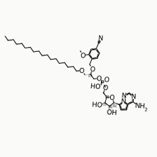 CCCCCCCCCCCCCCCCCCOC[C@@H](COP(=O)(O)OC[C@H]1O[C@@H](c2ccc3c(N)ncnn23)[C@H](O)[C@@H]1O)OCc1ccc(C#N)cc1OC